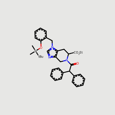 CCOC(=O)C1Cc2c(ncn2Cc2ccccc2O[Si](C)(C)C(C)(C)C)CN1C(=O)C(c1ccccc1)c1ccccc1